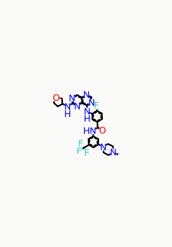 CN1CCN(c2cc(NC(=O)c3ccc(F)c(Nc4ncnc5cnc(NC6CCOC6)nc45)c3)cc(C(F)(F)F)c2)CC1